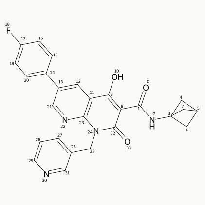 O=C(NC12CC(C1)C2)c1c(O)c2cc(-c3ccc(F)cc3)cnc2n(Cc2cccnc2)c1=O